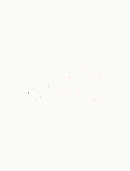 OC[C@H]1O[C@H](O)[C@@H](Oc2ccc(-c3ccccc3)cc2)[C@@H](O)[C@@H]1O